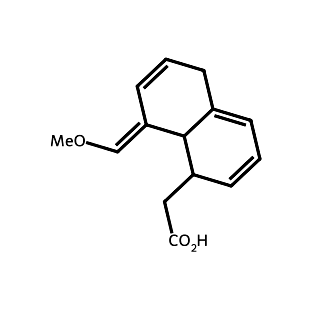 COC=C1C=CCC2=CC=CC(CC(=O)O)C12